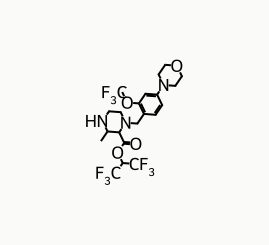 CC1NCCN(Cc2ccc(N3CCOCC3)cc2OC(F)(F)F)C1C(=O)OC(C(F)(F)F)C(F)(F)F